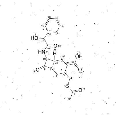 CC(=O)SCC1CN2C(=O)C(NC(=O)C(O)c3ccccc3)[C@H]2SC1C(=O)O